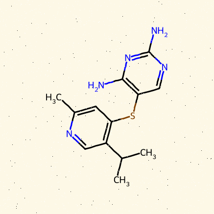 Cc1cc(Sc2cnc(N)nc2N)c(C(C)C)cn1